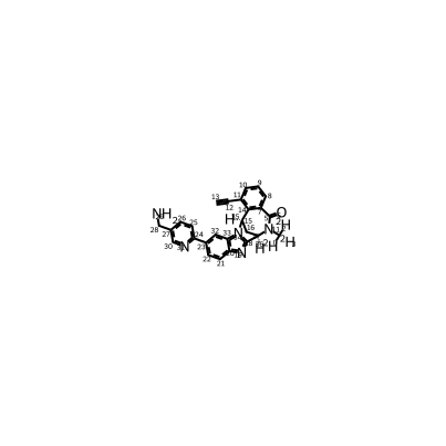 [2H]C([2H])([2H])N1C(=O)c2cccc(C#C)c2[C@H]2C[C@@H]1c1nc3ccc(-c4ccc(CN)cn4)cc3n12